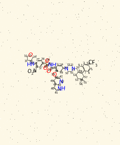 Cc1cc(C(F)(F)F)ccc1C1=C(CN2CCN(c3ccc(C(=O)NS(=O)(=O)c4ccc(N[C@@H]5CCOC5)c([N+](=O)[O-])c4)c(Oc4cnc5[nH]ccc5c4)c3)CC2)CCC(C)(C)C1